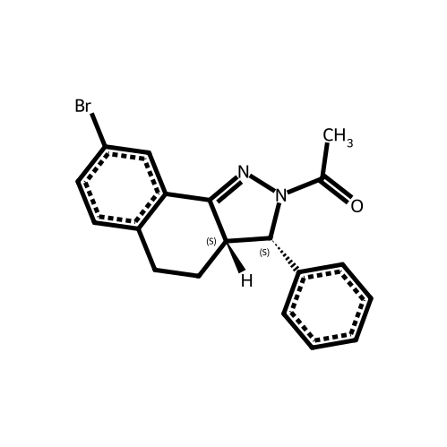 CC(=O)N1N=C2c3cc(Br)ccc3CC[C@H]2[C@H]1c1ccccc1